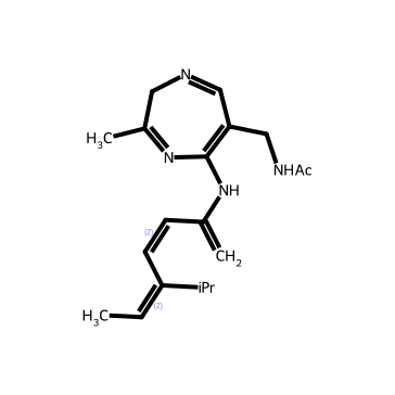 C=C(/C=C\C(=C/C)C(C)C)NC1=C(CNC(C)=O)C=NCC(C)=N1